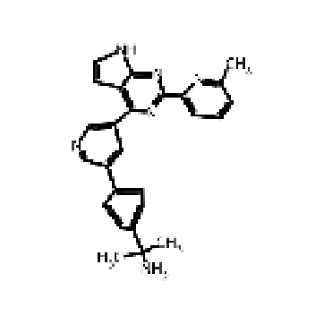 Cc1cccc(-c2nc(-c3cncc(-c4ccc(C(C)(C)N)cc4)c3)c3cc[nH]c3n2)n1